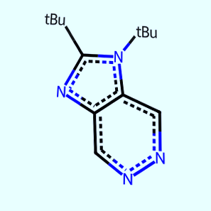 CC(C)(C)c1nc2cnncc2n1C(C)(C)C